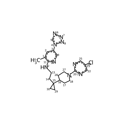 Cc1cc(-n2cnnn2)cnc1NCCC1(C2CCN(c3ncc(Cl)cn3)CC2)CC1